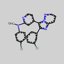 O=CN(c1ccc(Cl)cc1)c1cc(-c2c(-c3cccc(Cl)c3)nc3cccnn23)ccn1